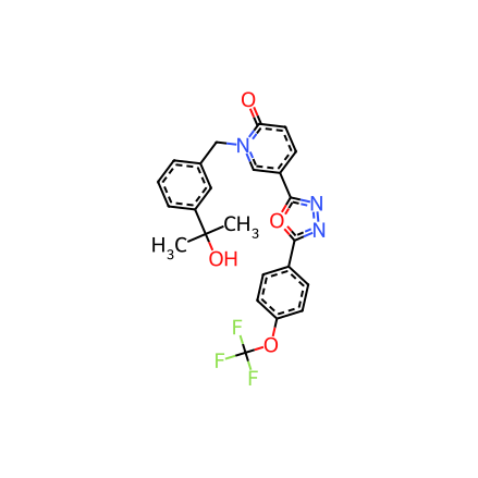 CC(C)(O)c1cccc(Cn2cc(-c3nnc(-c4ccc(OC(F)(F)F)cc4)o3)ccc2=O)c1